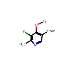 CCOc1c(OC)cnc(C)c1F